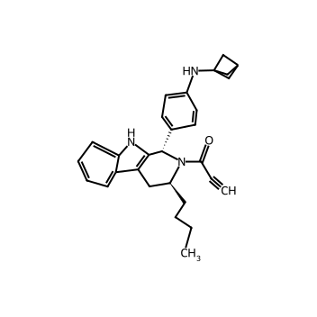 C#CC(=O)N1[C@@H](CCCC)Cc2c([nH]c3ccccc23)[C@@H]1c1ccc(NC23CC(C2)C3)cc1